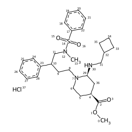 COC(=O)[C@H]1CCN(CCC(CN(C)S(=O)(=O)c2ccccc2)c2ccccc2)[C@@H](NCC2CCC2)C1.Cl